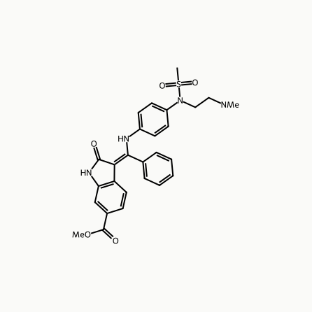 CNCCN(c1ccc(N/C(=C2\C(=O)Nc3cc(C(=O)OC)ccc32)c2ccccc2)cc1)S(C)(=O)=O